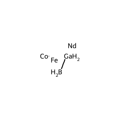 [BH2][GaH2].[Co].[Fe].[Nd]